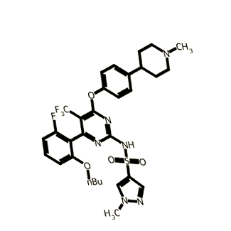 CCCCOc1cccc(F)c1-c1nc(NS(=O)(=O)c2cnn(C)c2)nc(Oc2ccc(C3CCN(C)CC3)cc2)c1C(F)(F)F